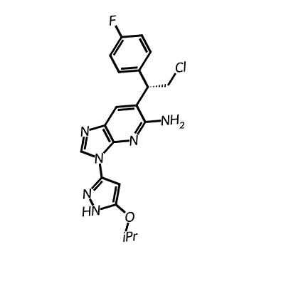 CC(C)Oc1cc(-n2cnc3cc([C@@H](CCl)c4ccc(F)cc4)c(N)nc32)n[nH]1